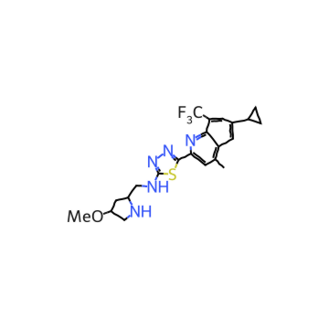 COC1CNC(CNc2nnc(-c3cc(C)c4cc(C5CC5)cc(C(F)(F)F)c4n3)s2)C1